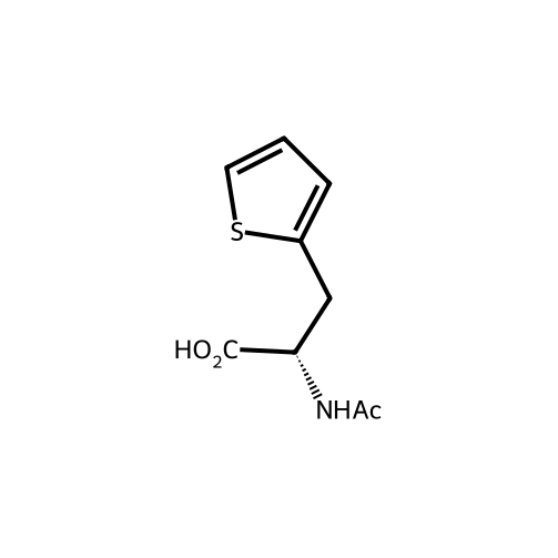 CC(=O)N[C@@H](Cc1cccs1)C(=O)O